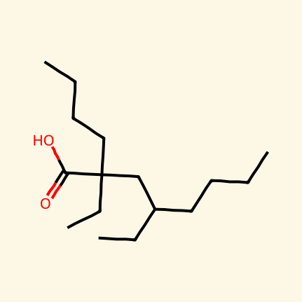 CCCCC(CC)CC(CC)(CCCC)C(=O)O